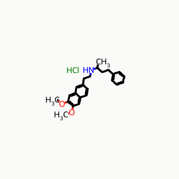 COc1cc2ccc(CCNC(C)CCc3ccccc3)cc2cc1OC.Cl